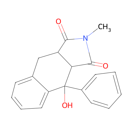 CN1C(=O)C2Cc3ccccc3C(O)(c3ccccc3)C2C1=O